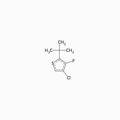 CC(C)(C)c1scc(Cl)c1F